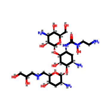 NCCN(O)C(=O)N[C@@H]1C[C@H](N)[C@@H](O[C@H]2O[C@H](CNCC(O)CO)[C@@H](O)C[C@H]2N)[C@H](O)[C@H]1O[C@H]1O[C@H](CO)[C@@H](O)[C@H](N)[C@H]1O